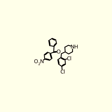 Clc1ccc(CC2CCNCC2)c(Cl)c1.O=C(c1ccccc1)c1ccc([N+](=O)[O-])cc1